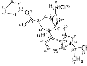 CCN1CC(C(=O)OC2CCCCC2)C[C@@H]2c3cccc4c3c(cn4C(C)C)C[C@H]21.Cl